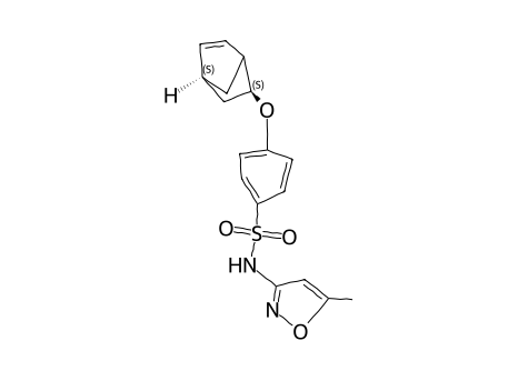 Cc1cc(NS(=O)(=O)c2ccc(O[C@H]3C[C@H]4C=CC3C4)cc2)no1